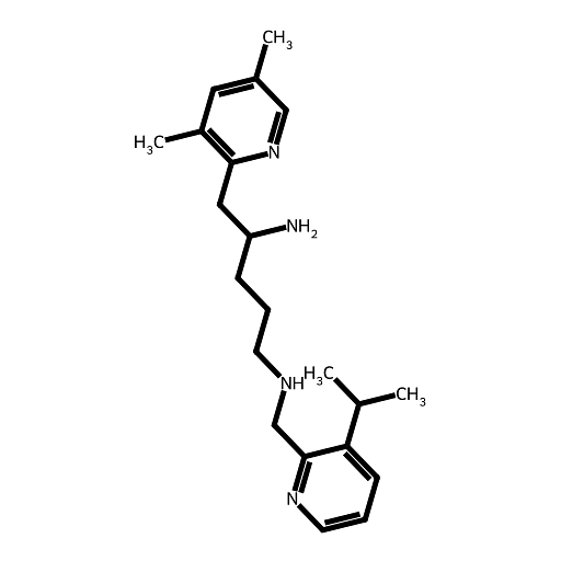 Cc1cnc(CC(N)CCCNCc2ncccc2C(C)C)c(C)c1